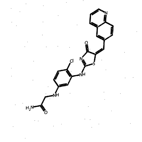 NC(=O)CNc1ccc(Cl)c(NC2=NC(=O)C(=Cc3ccc4ncccc4c3)S2)c1